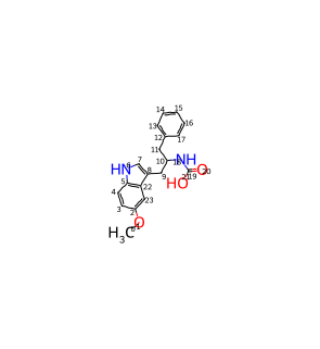 COc1ccc2[nH]cc(CC(Cc3ccccc3)NC(=O)O)c2c1